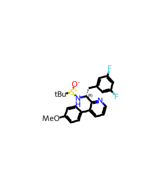 COc1ccc(-c2cccnc2[C@@H](Cc2cc(F)cc(F)c2)N[S+]([O-])C(C)(C)C)cc1